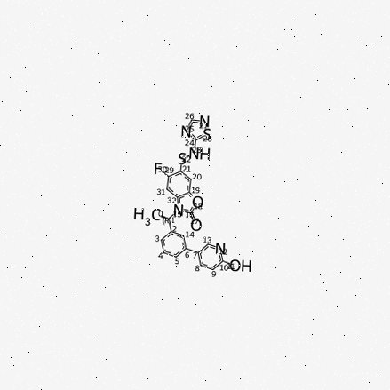 C[C@H](c1cccc(-c2ccc(O)nc2)c1)n1c(=O)oc2cc(SNc3ncns3)c(F)cc21